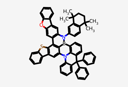 CC1(C)CCC(C)(C)c2cc(N3B4c5cccc6c5N(c5ccccc5C6(c5ccccc5)c5ccccc5)c5cc6c(sc7ccccc76)c(c54)-c4cc5oc6ccccc6c5cc43)ccc21